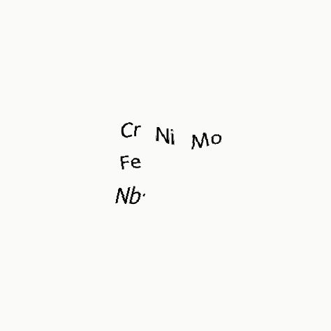 [Cr].[Fe].[Mo].[Nb].[Ni]